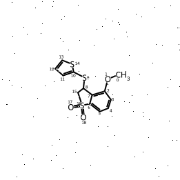 COc1cccc2c1C(Sc1cccs1)CS2(=O)=O